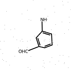 [NH]c1cccc(C=O)c1